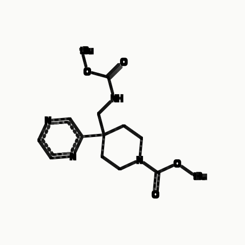 CC(C)(C)OC(=O)NCC1(c2cnccn2)CCN(C(=O)OC(C)(C)C)CC1